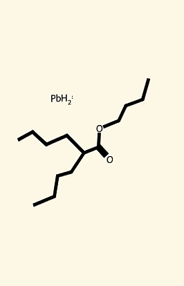 CCCCOC(=O)C(CCCC)CCCC.[PbH2]